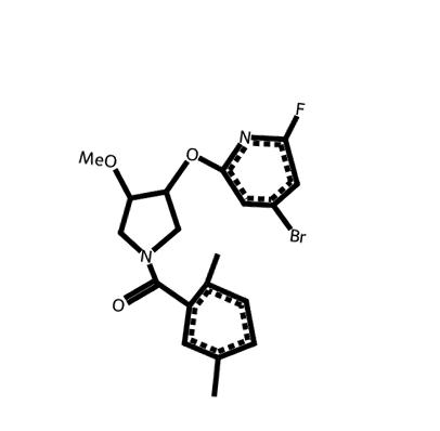 COC1CN(C(=O)c2cc(C)ccc2C)CC1Oc1cc(Br)cc(F)n1